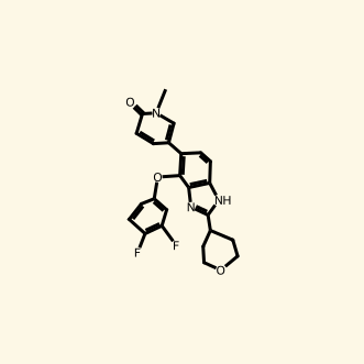 Cn1cc(-c2ccc3[nH]c(C4CCOCC4)nc3c2Oc2ccc(F)c(F)c2)ccc1=O